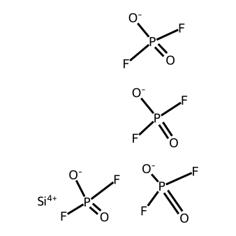 O=P([O-])(F)F.O=P([O-])(F)F.O=P([O-])(F)F.O=P([O-])(F)F.[Si+4]